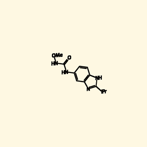 CONC(=O)Nc1ccc2[nH]c(C(C)C)nc2c1